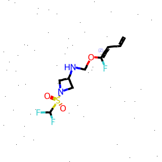 C=C/C=C(\F)OCNC1CN(S(=O)(=O)C(F)F)C1